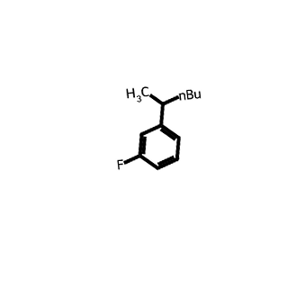 CCCCC(C)c1cccc(F)c1